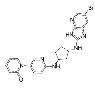 O=c1ccccn1-c1ccc(N[C@H]2CC[C@H](Nc3nc4cc(Br)cnc4[nH]3)C2)nc1